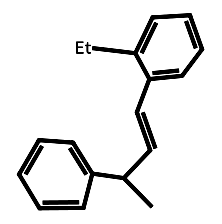 CCc1ccccc1C=CC(C)c1ccccc1